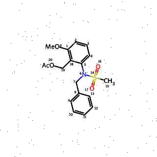 COc1cccc(N(Cc2ccccc2)S(C)(=O)=O)c1COC(C)=O